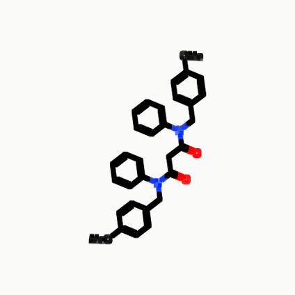 COc1ccc(CN(C(=O)CC(=O)N(Cc2ccc(OC)cc2)c2ccccc2)c2ccccc2)cc1